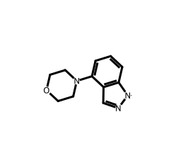 C1=N[N]c2cccc(N3CCOCC3)c21